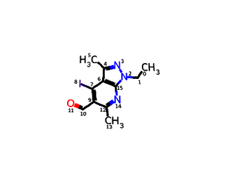 CCn1nc(C)c2c(I)c(C=O)c(C)nc21